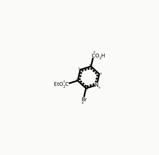 CCOC(=O)c1cc(C(=O)O)cnc1Br